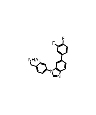 CC(=O)NCc1ccc(-n2cnc3ccc(-c4ccc(F)c(F)c4)cc32)cc1